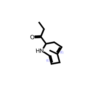 CCC(=O)C1C/C=C(\C)C/C=C/N1